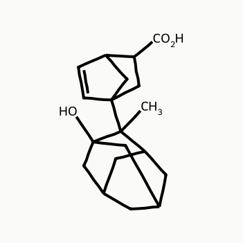 CC1(C23C=CC(C2)C(C(=O)O)C3)C2CC3CC(C2)CC1(O)C3